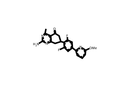 COc1cccc(-c2cc(F)c(C3CC(=O)c4c(C)nc(N)nc4C3)c(F)c2)n1